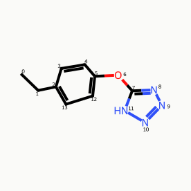 CCc1ccc(Oc2nnn[nH]2)cc1